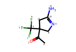 CC(=O)C1(C(F)(F)F)CN=C(N)C1